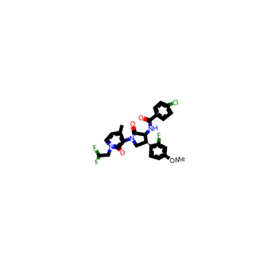 COc1ccc([C@@H]2CN(c3c(C)ccn(CC(F)F)c3=O)C(=O)C2NC(=O)c2ccc(Cl)cc2)c(F)c1